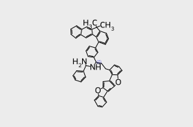 CC1(C)C2=C(C(c3cccc(/C(=C/Cc4cccc5oc6cc7c(cc6c45)oc4ccccc47)NC(N)c4ccccc4)c3)=C=C=C2)c2cc3ccccc3cc21